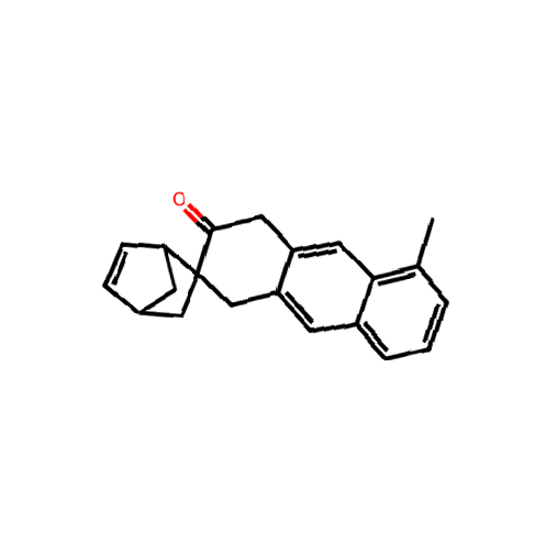 Cc1cccc2cc3c(cc12)CC(=O)C1(C3)CC2C=CC1C2